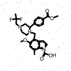 COC(=O)c1ccc(C2CN(CC(C)(F)F)CCN2Cc2c(OC)cc(C)c3c2ccn3C(=O)O)cc1